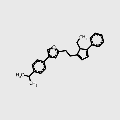 CCC1C(CCc2cc(-c3ccc(C(C)C)cc3)co2)=CC=C1c1ccccc1